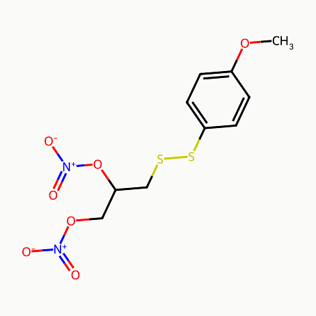 COc1ccc(SSCC(CO[N+](=O)[O-])O[N+](=O)[O-])cc1